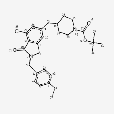 CCc1ccc(CN2Cc3cc(CC4CCN(C(=O)OC(C)(C)C)CC4)cc(Cl)c3C2=O)cc1